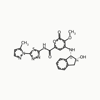 COc1c(N[C@H]2c3ccccc3C[C@H]2O)cc(C(=O)Nc2nnc(-n3nccc3C)s2)oc1=O